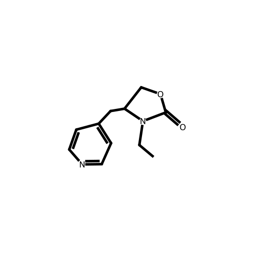 CCN1C(=O)OCC1Cc1ccncc1